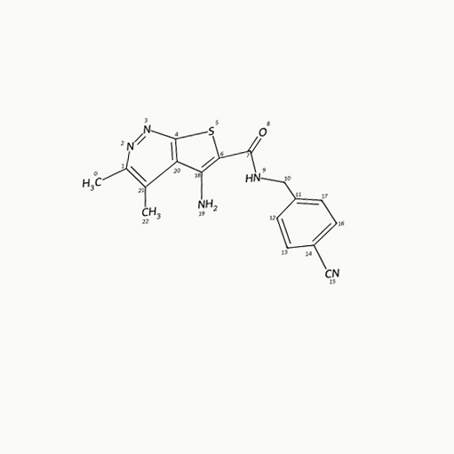 Cc1nnc2sc(C(=O)NCc3ccc(C#N)cc3)c(N)c2c1C